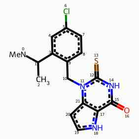 CNC(C)c1cc(Cl)ccc1Cn1c(=S)[nH]c(=O)c2[nH]ccc21